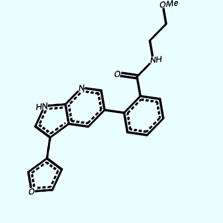 COCCNC(=O)c1ccccc1-c1cnc2[nH]cc(-c3ccoc3)c2c1